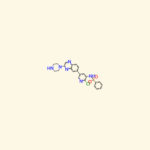 O=S(=O)(Nc1cc(-c2ccc3ncc(N4CCNCC4)nc3c2)cnc1Cl)c1ccccc1